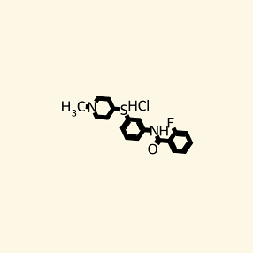 CN1CCC(Sc2cccc(NC(=O)c3ccccc3F)c2)CC1.Cl